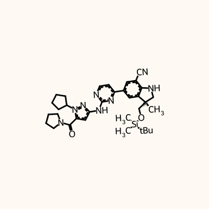 CC(C)(C)[Si](C)(C)OC[C@@]1(C)CNc2c(C#N)cc(-c3ccnc(Nc4cc(C(=O)N5CCCC5)n(C5CCCC5)n4)n3)cc21